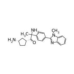 Cn1c(-c2ccc(C(C)(N)C(=O)[C@@H]3CC[C@H](N)C3)cc2)nc2ccccc21